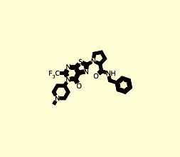 CN1CCC(n2c(C(F)(F)F)nc3sc(N4CCCC4C(=O)NCc4ccccc4)nc3c2=O)CC1